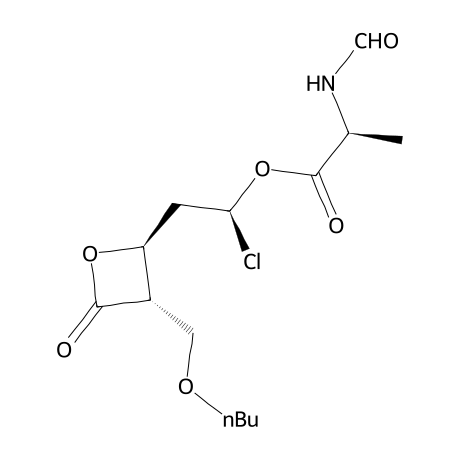 CCCCOC[C@@H]1C(=O)O[C@H]1C[C@H](Cl)OC(=O)[C@H](C)NC=O